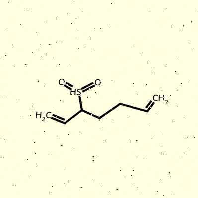 C=CC[CH]C(C=C)[SH](=O)=O